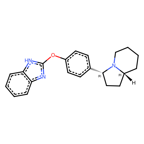 c1ccc2[nH]c(Oc3ccc([C@H]4CC[C@H]5CCCCN54)cc3)nc2c1